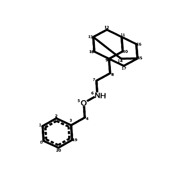 c1ccc(CONCCC23CC4CC(CC(C4)C2)C3)cc1